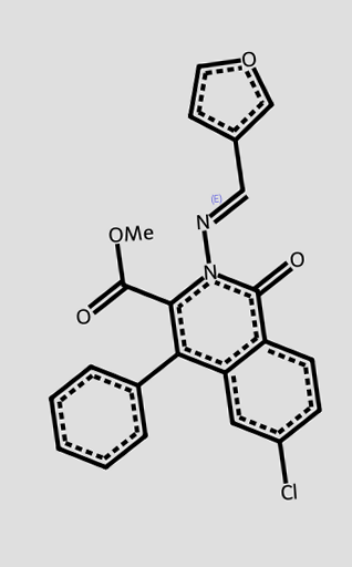 COC(=O)c1c(-c2ccccc2)c2cc(Cl)ccc2c(=O)n1/N=C/c1ccoc1